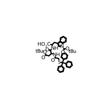 CC(C)(C)OC(=O)CC(NC(=O)CSC(c1ccccc1)(c1ccccc1)c1ccccc1)C(=O)NC(Cc1cn(C(=O)OC(C)(C)C)c2ccccc12)C(=O)O